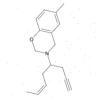 C#CCC(C/C=C\C)N1COc2ccc(C)cc2C1